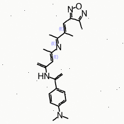 C=C(/C=C(C)/N=C(C)/C(C)=C/c1nonc1C)NC(=C)c1ccc(N(C)C)cc1